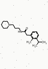 Cc1c(CC(=O)NCCCN2CCCCC2)cccc1C(C)C